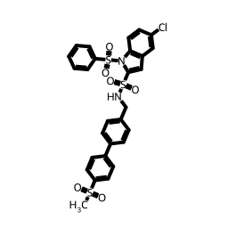 CS(=O)(=O)c1ccc(-c2ccc(CNS(=O)(=O)c3cc4cc(Cl)ccc4n3S(=O)(=O)c3ccccc3)cc2)cc1